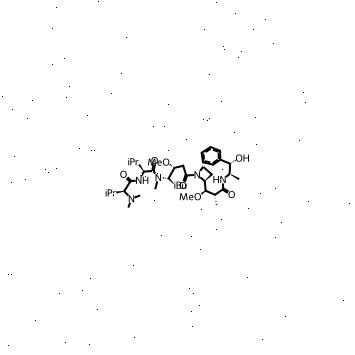 CC[C@H](C)[C@@H]([C@@H](CC(=O)N1CC[C@H]1[C@H](OC)[C@@H](C)C(=O)N[C@H](C)[C@@H](O)c1ccccc1)OC)N(C)C(=O)[C@@H](NC(=O)[C@H](C(C)C)N(C)C)C(C)C